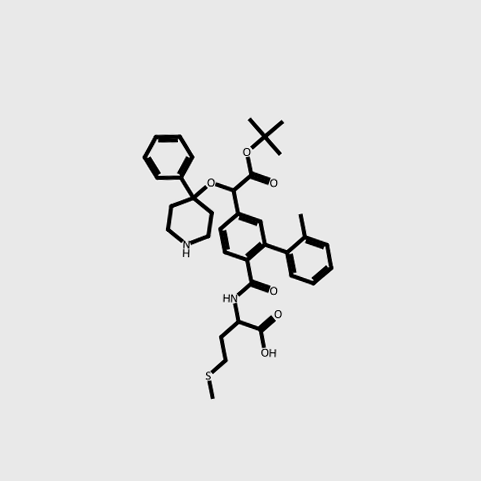 CSCCC(NC(=O)c1ccc(C(OC2(c3ccccc3)CCNCC2)C(=O)OC(C)(C)C)cc1-c1ccccc1C)C(=O)O